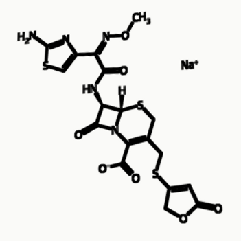 CO/N=C(\C(=O)N[C@@H]1C(=O)N2C(C(=O)[O-])=C(CSC3=CC(=O)OC3)CS[C@@H]12)c1csc(N)n1.[Na+]